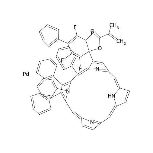 C=C(C)C(=O)OC1(C2=Cc3cc4ccc(cc5nc(cc6c(-c7ccccc7)c(-c7ccccc7)c(c(-c7ccccc7)c2n3)n6-c2ccccc2)C=C5)[nH]4)C(F)=C(F)C(c2ccccc2)=C(F)C1F.[Pd]